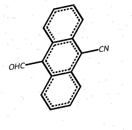 N#Cc1c2ccccc2c(C=O)c2ccccc12